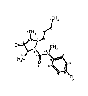 CCCC[C@@H]1N(C)C(=O)[C@H](C)N1C(=O)N(C)c1ccc(Cl)cc1